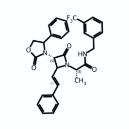 C[C@@H](C(=O)NCc1cccc(C(F)(F)F)c1)N1C(=O)[C@@H](N2C(=O)OCC2c2ccccc2)C1/C=C/c1ccccc1